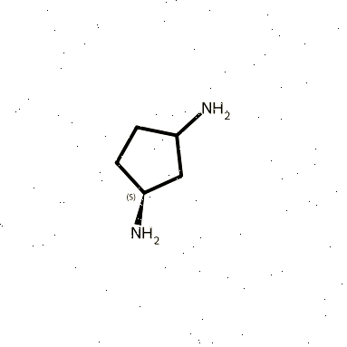 NC1CC[C@H](N)C1